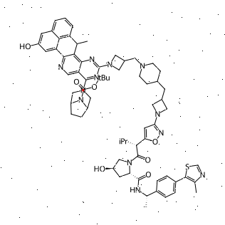 Cc1ncsc1-c1ccc([C@H](C)NC(=O)[C@@H]2C[C@@H](O)CN2C(=O)[C@@H](c2cc(N3CC(CC4CCN(CC5CN(c6nc(N7CC8CCC(C7)N8C(=O)OC(C)(C)C)c7cnc8c(c7n6)C(C)c6cccc7cc(O)cc-8c67)C5)CC4)C3)no2)C(C)C)cc1